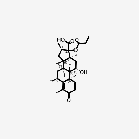 CCC(=O)O[C@]1(C(=O)O)[C@H](C)C[C@H]2[C@@H]3C[C@H](F)C4=C(F)C(=O)C=C[C@]4(C)[C@@]3(F)[C@@H](O)C[C@@]21C